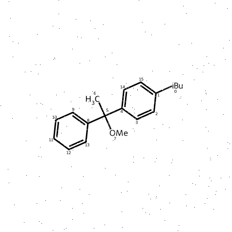 CCC(C)c1ccc(C(C)(OC)c2ccccc2)cc1